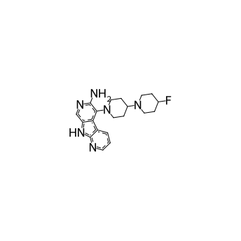 Nc1ncc2[nH]c3ncccc3c2c1N1CCC(N2CCC(F)CC2)CC1